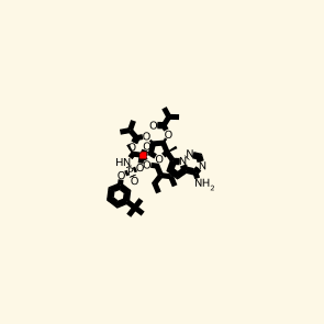 CCC(CC)COC(=O)[C@H](C)NP(=O)(OC[C@H]1O[C@@](C)(c2ccc3c(N)ncnn23)[C@H](OC(=O)C(C)C)[C@@H]1OC(=O)C(C)C)Oc1cccc(C(C)(C)C)c1